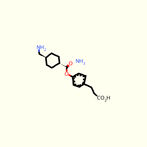 N.NC[C@H]1CC[C@H](C(=O)Oc2ccc(CCC(=O)O)cc2)CC1